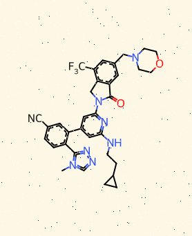 Cn1cnnc1-c1ccc(C#N)cc1-c1cc(NCCC2CC2)nc(N2Cc3c(cc(CN4CCOCC4)cc3C(F)(F)F)C2=O)c1